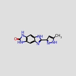 Cc1cc(-c2nc3cc4[nH]c(=O)[nH]c4cc3[nH]2)n[nH]1